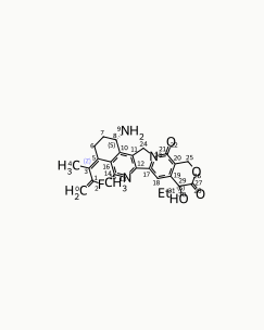 C=C(F)/C(C)=C1/CC[C@H](N)c2c3c(nc(C)c21)-c1cc2c(c(=O)n1C3)COC(=O)[C@]2(O)CC